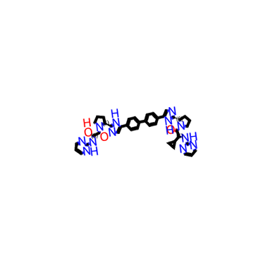 O=C([C@H](O)Nc1ncccn1)N1CCC[C@H]1c1ncc(-c2ccc(-c3ccc(-c4cnc([C@@H]5CCCN5C(=O)[C@@H](Nc5ncccn5)C5CC5)[nH]4)cc3)cc2)[nH]1